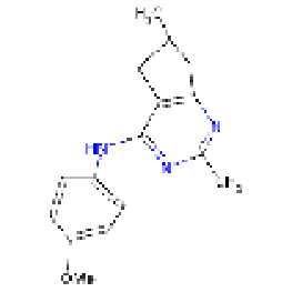 COc1ccc(Nc2nc(C)nc3c2CC(C)C3)cc1